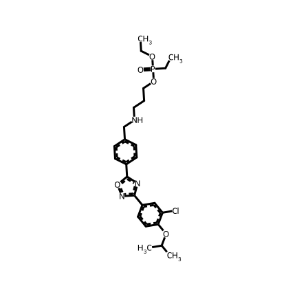 CCOP(=O)(CC)OCCCNCc1ccc(-c2nc(-c3ccc(OC(C)C)c(Cl)c3)no2)cc1